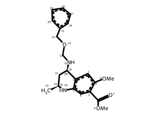 COC(=O)c1cc2c(cc1OC)[C@H](NCOCc1ccccc1)C[C@H](C)N2